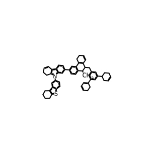 CC1c2ccc(-c3ccc4c5c(n(-c6ccc7sc8c(c7c6)CCCC8)c4c3)CCC=C5)cc2C2=C(C=CCC2)C1Cc1cc(C2=CC=CCC2)cc(C2CC=CCC2)c1